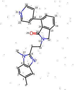 Cc1ccc2c(c1)nc(CCN1Cc3cccc(-c4ccncc4)c3C1=O)n2C